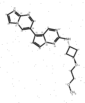 COCCO[C@H]1C[C@H](Nc2ncc3c(-c4cnc5nccn5c4)ccn3n2)C1